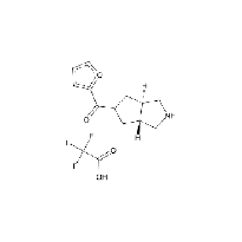 O=C(O)C(F)(F)F.O=C(c1ccco1)C1C[C@H]2CNC[C@@H]2C1